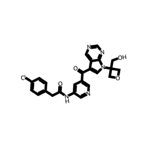 O=C(Cc1ccc(Cl)cc1)Nc1cncc(C(=O)c2cn(C3(CO)COC3)c3ncncc23)c1